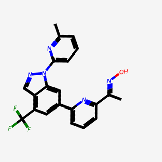 CC(=NO)c1cccc(-c2cc(C(F)(F)F)c3cnn(-c4cccc(C)n4)c3c2)n1